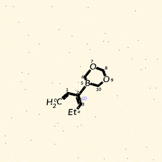 C=C/C(=C\CC)B1COCOC1